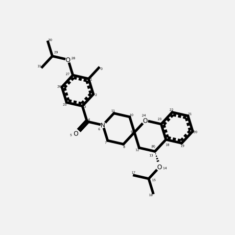 Cc1cc(C(=O)N2CCC3(CC2)C[C@@H](OC(C)C)c2ccccc2O3)ccc1OC(C)C